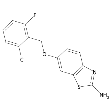 Nc1nc2ccc(OCc3c(F)cccc3Cl)cc2s1